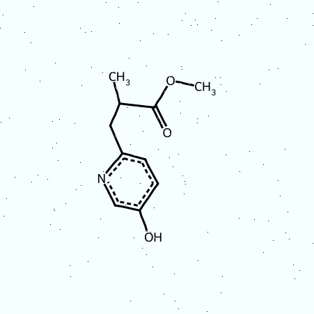 COC(=O)C(C)Cc1ccc(O)cn1